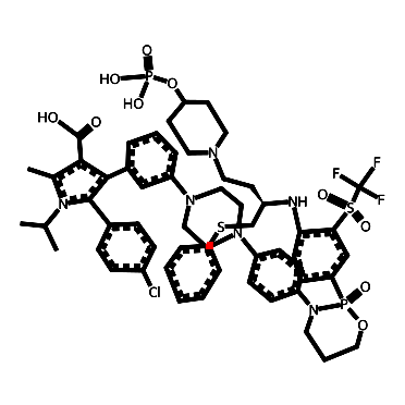 Cc1c(C(=O)O)c(-c2cccc(N3CCN(c4ccc(N5CCCOP5(=O)c5ccc(N[C@H](CCN6CCC(OP(=O)(O)O)CC6)CSc6ccccc6)c(S(=O)(=O)C(F)(F)F)c5)cc4)CC3)c2)c(-c2ccc(Cl)cc2)n1C(C)C